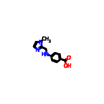 Cn1ccnc1CNc1ccc(C(=O)O)cc1